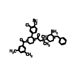 Cc1cc(C)cc(C(=O)N2CCN(C(=O)C[N+](C)(C)C3CCN(Cc4ccccc4)C(N)C3)C(c3ccc(Cl)c(Cl)c3)C2)c1.[Br-]